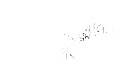 CCCCCCCCCCCCCCCCCCOC[C@H](COP(=O)(O)O[C@H]1O[C@@](C)(c2ccc3c(N)ncnn23)[C@H](O)[C@@H]1O)OCc1ccc(Cl)c(C#N)c1